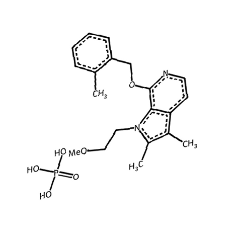 COCCn1c(C)c(C)c2ccnc(OCc3ccccc3C)c21.O=P(O)(O)O